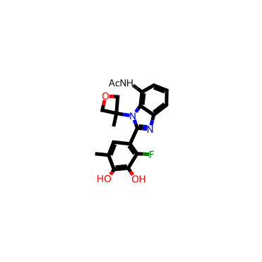 CC(=O)Nc1cccc2nc(-c3cc(C)c(O)c(O)c3F)n(C3(C)COC3)c12